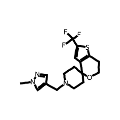 Cn1cc(CN2CCC3(CC2)OCCc2sc(C(F)(F)F)cc23)cn1